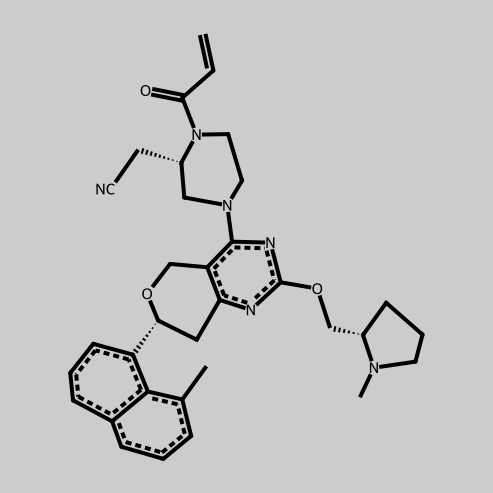 C=CC(=O)N1CCN(c2nc(OC[C@@H]3CCCN3C)nc3c2CO[C@@H](c2cccc4cccc(C)c24)C3)C[C@@H]1CC#N